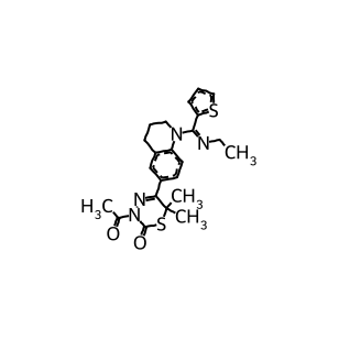 CCN=C(c1cccs1)N1CCCc2cc(C3=NN(C(C)=O)C(=O)SC3(C)C)ccc21